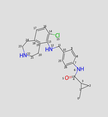 CC1CC1C(=O)Nc1ccc(CNc2c(Cl)ccc3c2CCNCC3)cc1